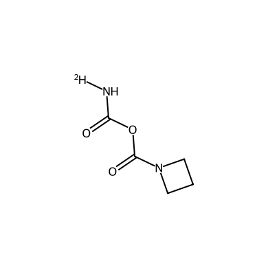 [2H]NC(=O)OC(=O)N1CCC1